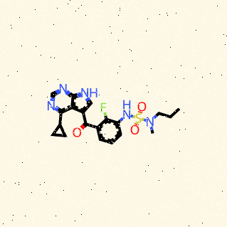 CCCN(C)S(=O)(=O)Nc1cccc(C(=O)c2c[nH]c3ncnc(C4CC4)c23)c1F